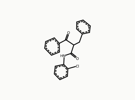 O=C(Nc1ccccc1Cl)C(Cc1ccccc1)C(=O)c1ccccc1